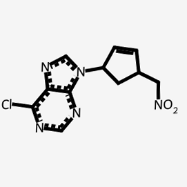 O=[N+]([O-])CC1C=CC(n2cnc3c(Cl)ncnc32)C1